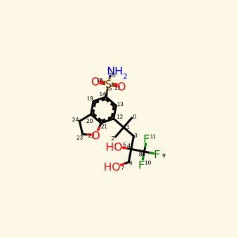 CC(C)(CC(O)(CO)C(F)(F)F)c1cc(S(N)(=O)=O)cc2c1OCC2